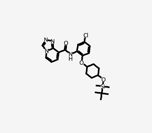 CC(C)(C)[Si](C)(C)OC1CCC(Oc2ccc(Cl)cc2NC(=O)c2cccn3cnnc23)CC1